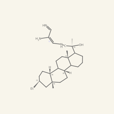 CC[C@H]1CC[C@@H]2C3CC[C@@]4(C)C(CCCC4[C@](C)(O)CN/C=C(/N)C=N)[C@@H]3CC[C@]2(C)C1